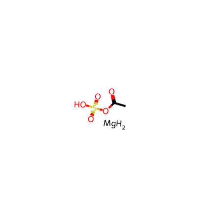 CC(=O)OS(=O)(=O)O.[MgH2]